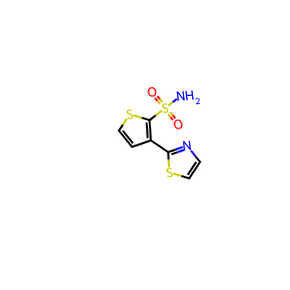 NS(=O)(=O)c1sccc1-c1nccs1